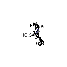 CCN(CC)c1ccc2c(c1)O/C(=C\C=C1/C(=O)N(CCCCCC(=O)ON3C(=O)CCC3=O)C(=O)N(CCCS(=O)(=O)O)C1=O)C=C2C(C)(C)C